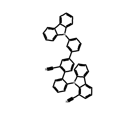 N#Cc1cc(-c2cccc(-n3c4ccccc4c4ccccc43)c2)ccc1-c1ccccc1-n1c2ccccc2c2cccc(C#N)c21